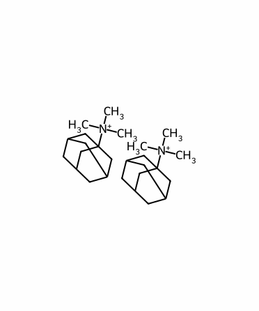 C[N+](C)(C)C12CC3CC(CC(C3)C1)C2.C[N+](C)(C)C12CC3CC(CC(C3)C1)C2